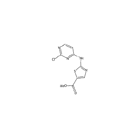 COC(=O)c1cnc(Nc2ccnc(Cl)n2)s1